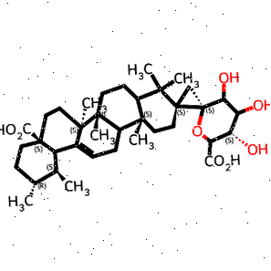 C[C@@H]1CC[C@]2(C(=O)O)CC[C@]3(C)C(=CCC4[C@@]5(C)CC[C@]6(C[C@]67OC(C(=O)O)[C@@H](O)C(O)C7O)C(C)(C)C5CC[C@]43C)C2[C@H]1C